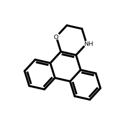 c1ccc2c(c1)c1c(c3ccccc32)OCCN1